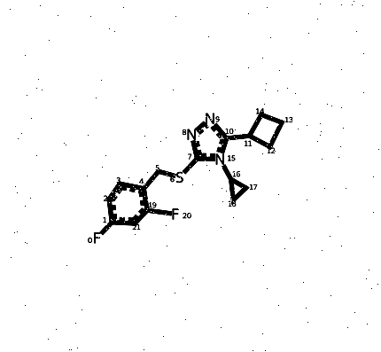 Fc1ccc(CSc2nnc(C3CCC3)n2C2CC2)c(F)c1